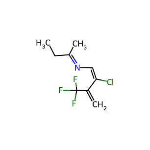 C=C(/C(Cl)=C\N=C(/C)CC)C(F)(F)F